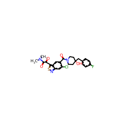 CN(C)C(=O)C(=O)c1snc2cc(Cl)c(C(=O)N3CCC(O)(Cc4ccc(F)cc4)CC3)cc12